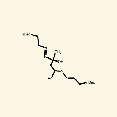 CCCCCCCCCCCCN=NC(C)(O)CC(NNCCCCCCCCCCCC)C(C)=O